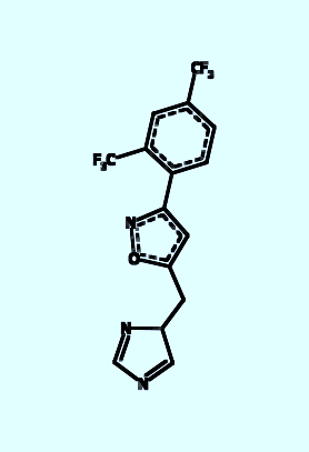 FC(F)(F)c1ccc(-c2cc(CC3C=NC=N3)on2)c(C(F)(F)F)c1